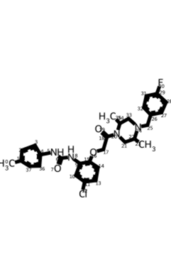 Cc1ccc(NC(=O)Nc2cc(Cl)ccc2OCC(=O)N2CC(C)N(Cc3ccc(F)cc3)CC2C)cc1